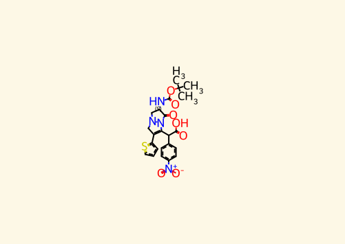 CC(C)(C)OC(=O)N[C@H]1CN2CC(c3cccs3)=C(C(C(=O)O)c3ccc([N+](=O)[O-])cc3)N2C1=O